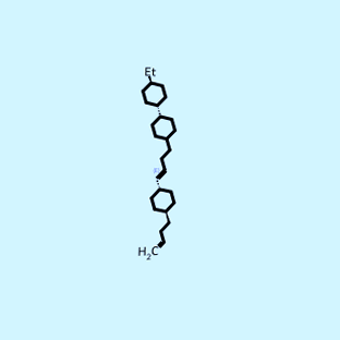 C=CCC[C@H]1CC[C@H](/C=C/CCC2CCC([C@H]3CC[C@H](CC)CC3)CC2)CC1